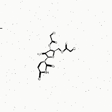 C=C1[C@H](n2ccc(=O)[nH]c2=O)O[C@H](COC(=O)CCl)[C@H]1OC(=O)CCl